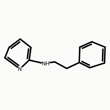 c1ccc(CCNc2ccccn2)cc1